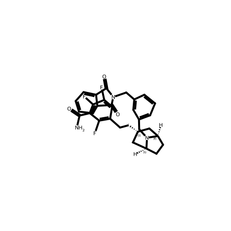 NC(=O)c1c(F)c(F)cc(C[CH][C@@H]2C[C@H]3CC[C@@H](C2)N3Cc2cccc(CN3C(=O)c4ccccc4C3=O)c2)c1F